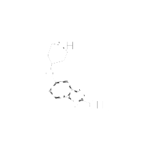 Cc1nc2cc(OC3CCNCC3)ccc2s1